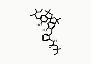 CCC(C)C(C)Cc1cc2c(cc1O)C1(CC(C)(C)c3cc(Cc4ccccc4NC(=O)CC(C)(C)CC)c(O)cc31)CC2(C)C